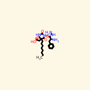 CCCCCCCCC1(CC(=O)O)C(=O)NC(=O)NC1=O.NNC(=O)[C@@H](N)Cc1ccccc1